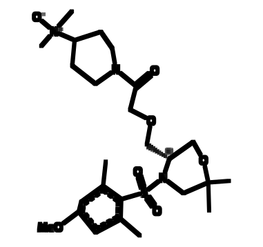 COc1cc(C)c(S(=O)(=O)N2CC(C)(C)OC[C@H]2COCC(=O)N2CCC([N+](C)(C)[O-])CC2)c(C)c1